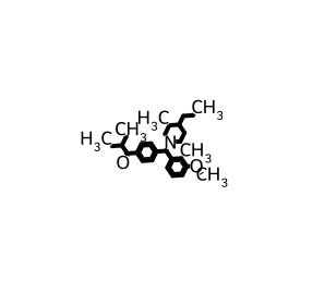 CCCC1C[C@H](C)N(C(c2ccc(C(=O)C(CC)CC)cc2)c2cccc(OC)c2)CC1C